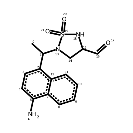 CC(c1ccc(N)c2ccccc12)N1CC(C=O)NS1(=O)=O